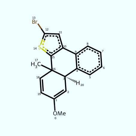 COC1=C[C@@H]2c3ccccc3-c3cc(Br)sc3C2(C)C=C1